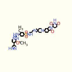 CCOc1c(-c2cn[nH]c2)ccn2nc(Nc3ccc(S(=O)(=O)NCCCN4CC5(CCN(c6ccc7c(c6)CN(C6CCC(=O)NC6=O)C7=O)CC5)C4)cc3C)nc12